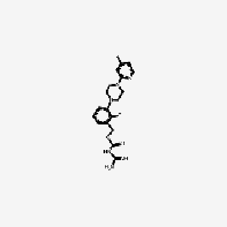 Cc1ccnc(N2CCN(c3cccc(COC(=O)NC(=N)N)c3F)CC2)c1